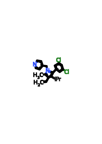 C=Cc1c(C(C)C)c(-c2cc(Cl)cc(Cl)c2)n(Cc2ccncc2)c1C